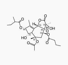 CCCC(=O)O[C@H]1C[C@](C)(OC(C)=O)C2C(=C(C)[C@@H](OC(=O)C(C)CC)[C@H]2O)[C@@H]2OC(=O)[C@@](C)(O)[C@@]12O